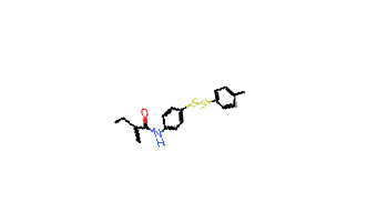 C=C(CC)C(=O)Nc1ccc(SSc2ccc(C)cc2)cc1